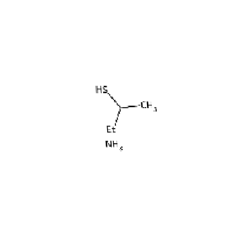 CCC(C)S.N